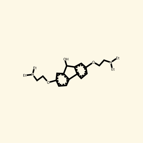 CCN(CC)CCOc1ccc2c(c1)C(O)c1cc(OCCN(CC)CC)ccc1-2